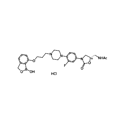 CC(=O)NC[C@H]1CN(c2ccc(N3CCN(CCCOc4cccc5c4B(O)OC5)CC3)c(F)c2)C(=O)O1.Cl